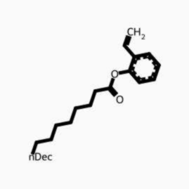 C=Cc1ccccc1OC(=O)CCCCCCCCCCCCCCCCC